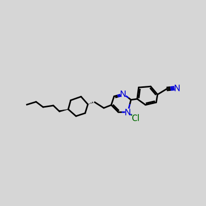 CCCCC[C@H]1CC[C@H](CCC2=CN(Cl)C(c3ccc(C#N)cc3)N=C2)CC1